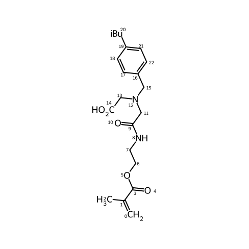 C=C(C)C(=O)OCCNC(=O)CN(CC(=O)O)Cc1ccc(C(C)CC)cc1